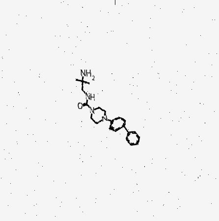 CC(C)(N)CNC(=O)N1CCN(c2ccc(-c3ccccc3)cc2)CC1